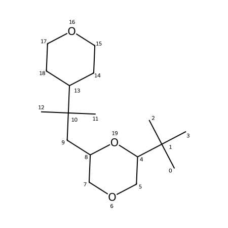 CC(C)(C)C1COCC(CC(C)(C)C2CCOCC2)O1